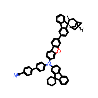 C[C@H]1CC23CC(C[C@H]2C3)[C@@]12c1ccccc1-c1cc(-c3ccc4c(c3)oc3cc(N(c5ccc(-c6ccc(C#N)cc6)cc5)c5ccc6c(c5)C5(CCCCC5)c5ccccc5-6)ccc34)ccc12